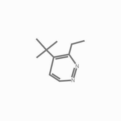 CCc1nnccc1C(C)(C)C